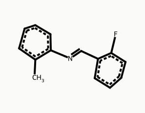 Cc1ccccc1N=Cc1ccccc1F